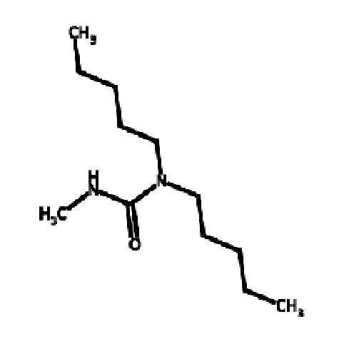 CCCCCN(CCCCC)C(=O)NC